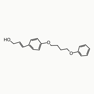 OCC=Cc1ccc(OCCCCOc2ccccc2)cc1